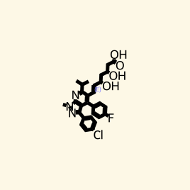 CC(C)c1nc2c(c(-c3ccc(Cl)cc3)nn2C)c(-c2ccc(F)cc2)c1/C=C/C(O)CC(O)CC(=O)O